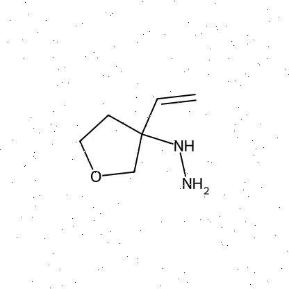 C=CC1(NN)CCOC1